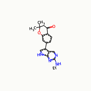 CCNc1ncc2c(-c3ccc4c(c3)OC(C)(C)CC4=O)c[nH]c2n1